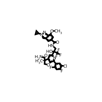 COc1cc(C(=O)NCC(O)(c2cc3c(c(-c4cc(Cl)c(F)cc4F)n2)OC[C@]3(C)C(N)=O)C(F)(F)F)cc2cn(C3CC3)nc12